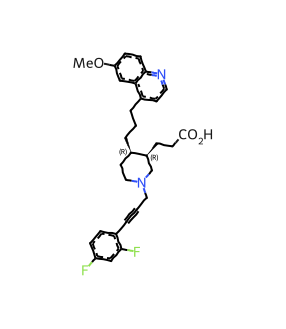 COc1ccc2nccc(CCC[C@@H]3CCN(CC#Cc4ccc(F)cc4F)C[C@@H]3CCC(=O)O)c2c1